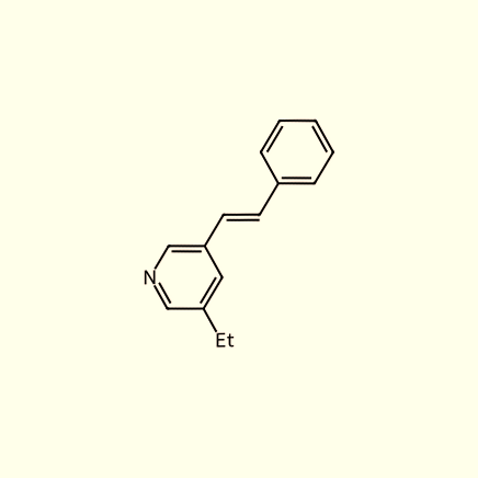 CCc1cncc(C=Cc2ccccc2)c1